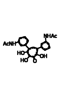 CC(=O)Nc1cccc(-c2cc(-c3cccc(NC(C)=O)c3)c(O)c(=O)c(O)c2O)c1